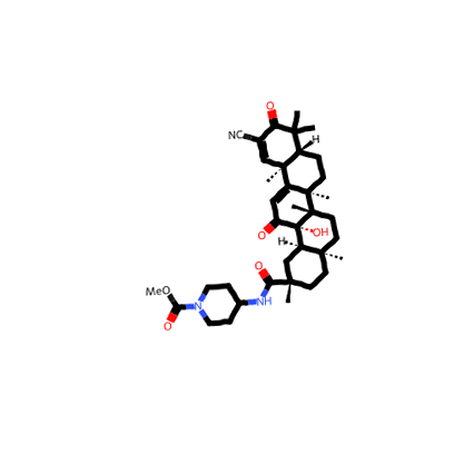 COC(=O)N1CCC(NC(=O)[C@@]2(C)CC[C@]3(C)CC[C@@]4(C)[C@]5(C)CC[C@H]6C(C)(C)C(=O)C(C#N)=C[C@]6(C)C5=CC(=O)[C@]4(O)[C@@H]3C2)CC1